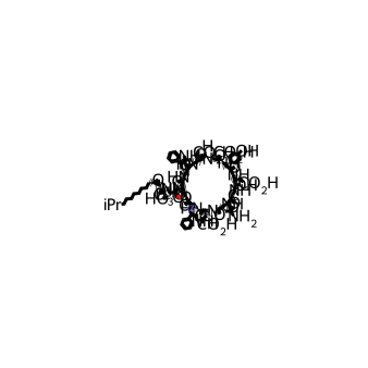 CC(C)CCCCCCCC[C@H]1O[C@@H]1C(=O)N[C@@H](CO)C(=O)N[C@@H]1C(=O)N[C@H](Cc2c[nH]c3ccccc23)C(=O)N[C@@H](CC(=O)O)C(=O)N[C@@H](CC(=O)O)C(=O)N[C@H](c2ccc(O)cc2)C(=O)N[C@@H](CC(=O)O)C(O)NCC(=O)N[C@H](CC(N)=O)C(=O)N[C@H](CCC(=O)O)C(=O)N/C(=C\c2c[nH]c3ccccc23)C(=O)O[C@@H]1C